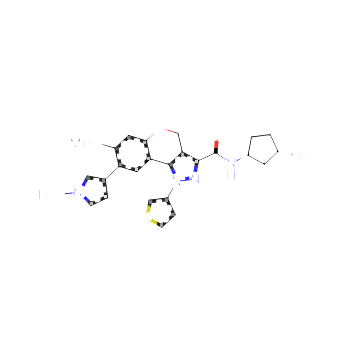 COc1cc2c(cc1-c1ccn(C)c1)-c1c(c(C(=O)N[C@H]3CC[C@H](O)C3)nn1-c1ccsc1)CO2